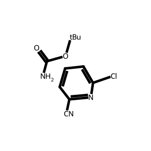 CC(C)(C)OC(N)=O.N#Cc1cccc(Cl)n1